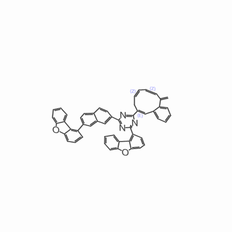 C=C1/C=C\C=C/C/C(c2nc(-c3ccc4ccc(-c5cccc6oc7ccccc7c56)cc4c3)nc(-c3cccc4oc5ccccc5c34)n2)=C\c2ccccc21